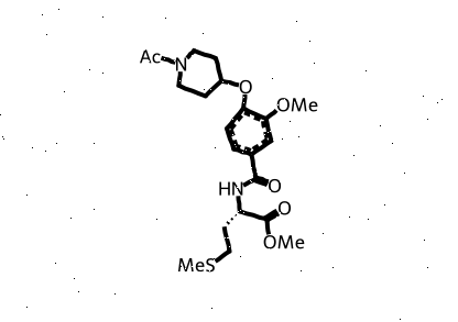 COC(=O)[C@H](CCSC)NC(=O)c1ccc(OC2CCN(C(C)=O)CC2)c(OC)c1